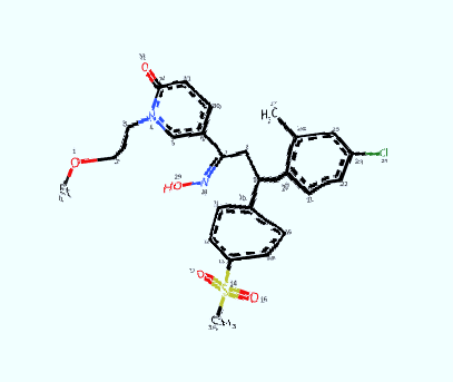 CCOCCn1cc(C(CC(c2ccc(S(C)(=O)=O)cc2)c2ccc(Cl)cc2C)=NO)ccc1=O